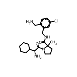 CC1(C(=O)NCc2cc(Cl)ccc2CN)CCCN1C(=O)[C@@H](N)C1CCCCC1